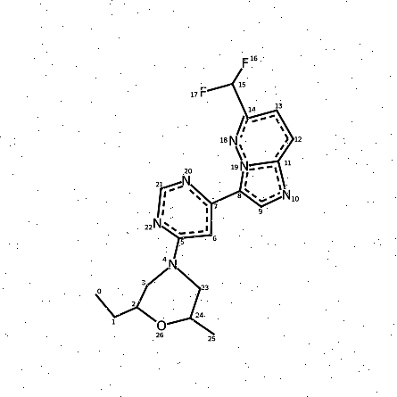 CCC1CN(c2cc(-c3cnc4ccc(C(F)F)nn34)ncn2)CC(C)O1